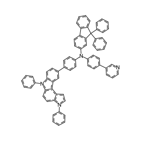 c1ccc(-n2ccc3c4c5cc(-c6ccc(N(c7ccc(-c8cccnc8)cc7)c7ccc8c(c7)C(c7ccccc7)(c7ccccc7)c7ccccc7-8)cc6)ccc5n(-c5ccccc5)c4ccc32)cc1